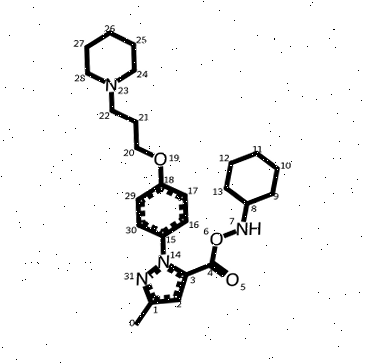 Cc1cc(C(=O)ONC2CCCCC2)n(-c2ccc(OCCCN3CCCCC3)cc2)n1